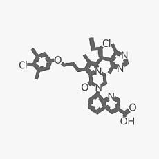 C=C/C(Cl)=C(/c1c(C)ncnc1C)c1c(C)c(CCCOc2cc(C)c(Cl)c(C)c2)c2n1[C@H](C)CN(c1cccc3cc(C(=O)O)cnc13)C2=O